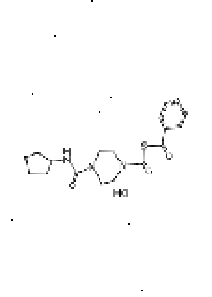 Cl.O=C(SC(=O)N1CCN(C(=O)NC2CCCC2)CC1)c1ccccc1